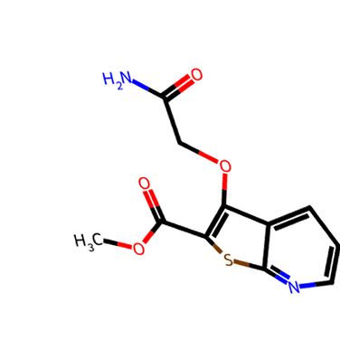 COC(=O)c1sc2ncccc2c1OCC(N)=O